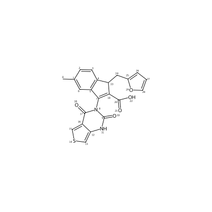 Cc1ccc2c(c1)C(n1c(=O)[nH]c3cscc3c1=O)=C(C(=O)O)C2Cc1ccco1